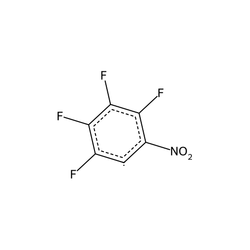 O=[N+]([O-])c1[c]c(F)c(F)c(F)c1F